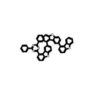 c1ccc(-c2nc(-c3ccccc3)nc(-c3cccc4oc5ccc(-c6cccc7oc8ccc(-c9cccc%10oc%11ccccc%11c9%10)cc8c67)cc5c34)n2)cc1